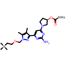 CNC(=O)O[C@@H]1CCN(c2cc(-c3nn(COCC[Si](C)(C)C)c(C)c3C)nc(N)n2)C1